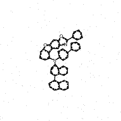 c1ccc(-c2ccc(N(c3ccc(-c4cccc5ccccc45)c4ccccc34)c3cccc4oc5cc6oc(-c7ccccc7)nc6cc5c34)cc2)cc1